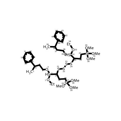 CCO[SiH](OCCC(C)c1ccccc1)C(CC[Si](OC)(OC)OC)SSSSC(CC[Si](OC)(OC)OC)[SiH](OCC)OCCC(C)c1ccccc1